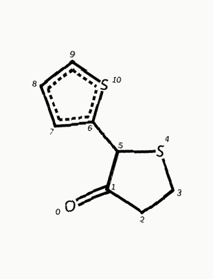 O=C1CCSC1c1cccs1